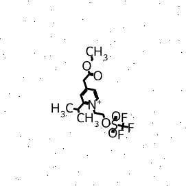 CCOC(=O)Cc1cc[n+](CCOS(=O)(=O)C(F)(F)F)c(C(C)C)c1